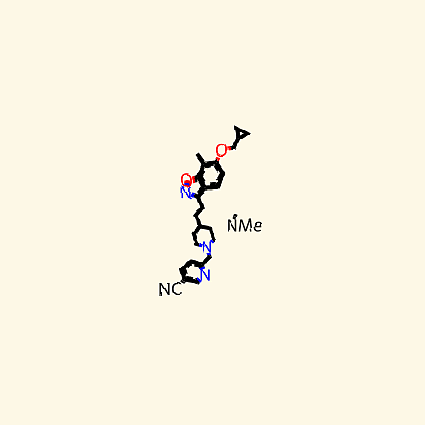 CNC.Cc1c(OCC2CC2)ccc2c(CCC3CCN(Cc4ccc(C#N)cn4)CC3)noc12